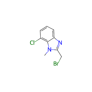 Cn1c(CBr)nc2cccc(Cl)c21